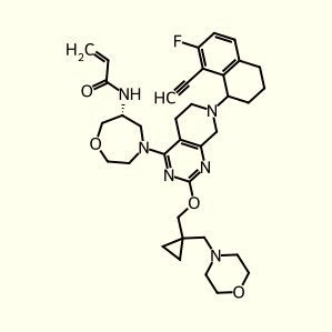 C#Cc1c(F)ccc2c1C(N1CCc3c(nc(OCC4(CN5CCOCC5)CC4)nc3N3CCOC[C@H](NC(=O)C=C)C3)C1)CCC2